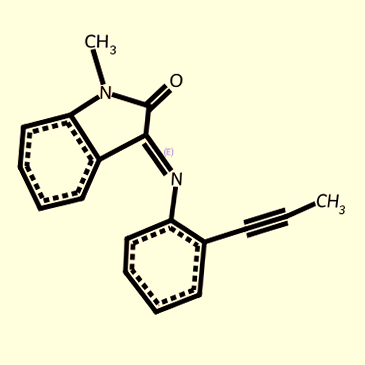 CC#Cc1ccccc1/N=C1/C(=O)N(C)c2ccccc21